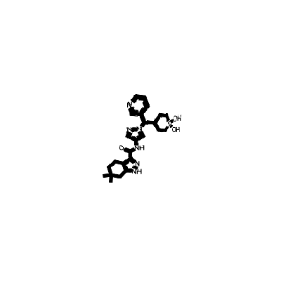 CC1(C)CCc2c(C(=O)Nc3cnn(C(c4cccnc4)C4CCS(O)(O)CC4)c3)n[nH]c2C1